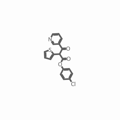 O=C(Oc1ccc(Cl)cc1)C(C(=O)c1cccnc1)c1cccs1